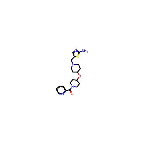 Nc1ncc(CN2CCC(OC3CCN(C(=O)c4ccccn4)CC3)CC2)s1